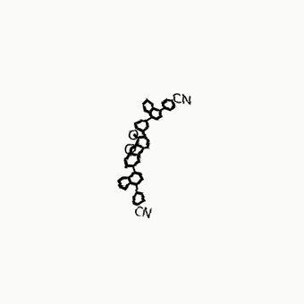 N#Cc1ccc(-c2ccc(-c3ccc4oc5c(ccc6c7cc(-c8ccc(-c9ccc(C#N)cc9)c9ccccc89)ccc7oc65)c4c3)c3ccccc23)cc1